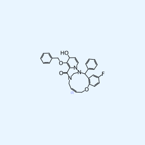 O=C1C2=C(OCc3ccccc3)C(O)C=CN2N2CN1C/C=C\COc1ccc(F)cc1C2c1ccccc1